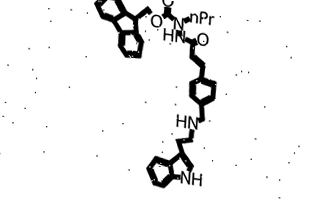 CCCN(NC(=O)/C=C/c1ccc(CNCCc2c[nH]c3ccccc23)cc1)C(=O)OCC1c2ccccc2-c2ccccc21